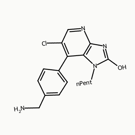 CCCCCn1c(O)nc2ncc(Cl)c(-c3ccc(CN)cc3)c21